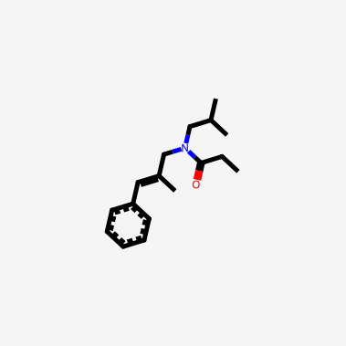 CCC(=O)N(C/C(C)=C/c1ccccc1)CC(C)C